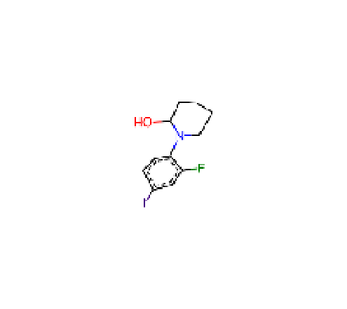 OC1CCCCN1c1ccc(I)cc1F